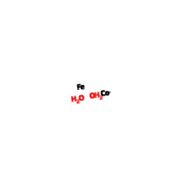 O.O.[Co].[Fe]